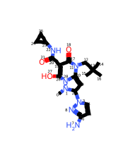 CN1C(n2ccc(N)n2)C=C2N(CC(C)(C)C)C(=O)C(C(=O)NC3CC3)=C(O)N21